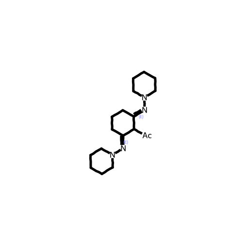 CC(=O)C1/C(=N/N2CCCCC2)CCC/C1=N\N1CCCCC1